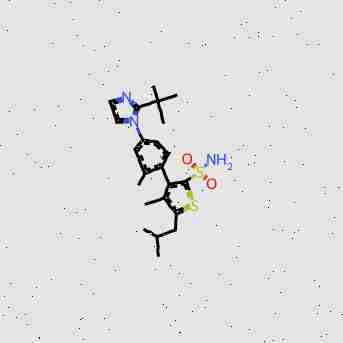 Cc1cc(-n2ccnc2C(C)(C)C)ccc1-c1c(S(N)(=O)=O)sc(CC(C)C)c1C